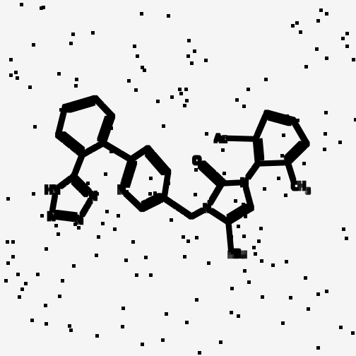 CCCCc1cn(-c2c(C)cccc2C(C)=O)c(=O)n1Cc1ccc(-c2ccccc2-c2nnn[nH]2)nc1